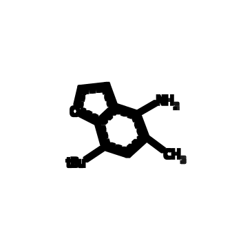 Cc1cc(C(C)(C)C)c2occc2c1N